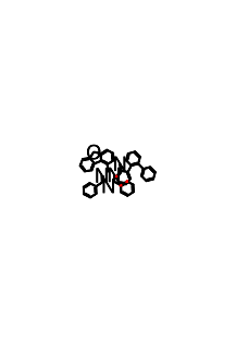 c1ccc(-c2nc(-c3ccccc3)nc(-c3c(-n4c5ccccc5c5c(-c6ccccc6)cccc54)ccc4oc5ccccc5c34)n2)cc1